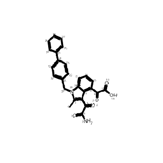 Cc1c(C(=O)C(N)=O)c2c(C(=O)C(=O)O)cccc2n1Cc1ccc(-c2ccccc2)cc1